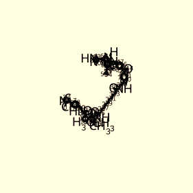 Cc1ncsc1-c1ccc(CNC(=O)[C@@H]2CCCN2C(=O)[C@@H](NC(=O)CCCCCCCCCC(=O)NCCN2CCN(C(=O)c3ccc(Nc4nc(C5CC5)cn5c(-c6cn[nH]c6)cnc45)c(F)c3)CC2)C(C)(C)C)cc1